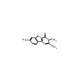 CC1=CC2=C(Cc3cc(C)ccc32)C(=O)C1C